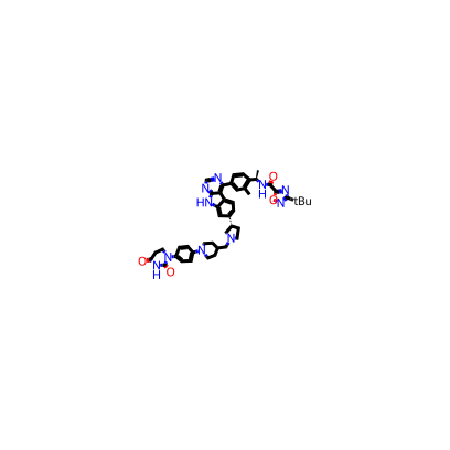 Cc1cc(-c2ncnc3[nH]c4cc([C@@H]5CCN(CC6CCN(c7ccc(N8CCC(=O)NC8=O)cc7)CC6)C5)ccc4c23)ccc1[C@@H](C)NC(=O)c1nc(C(C)(C)C)no1